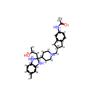 CCC(=O)Nc1ccc2c(c1)C[C@H](CN1CCC(C3(CC(C)O)Nc4ccc(C)cc4N3)CC1)C2